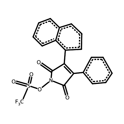 O=C1C(c2ccccc2)=C(c2cccc3ccccc23)C(=O)N1OS(=O)(=O)C(F)(F)F